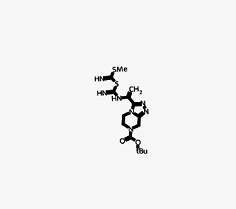 C=C(NC(=N)SC(=N)SC)c1nnc2n1CCN(C(=O)OC(C)(C)C)C2